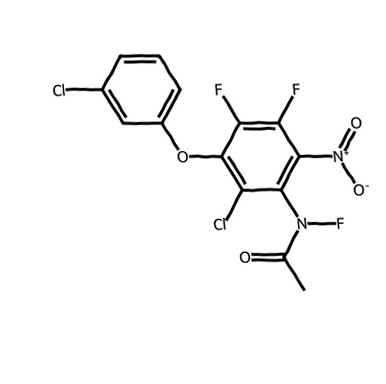 CC(=O)N(F)c1c(Cl)c(Oc2cccc(Cl)c2)c(F)c(F)c1[N+](=O)[O-]